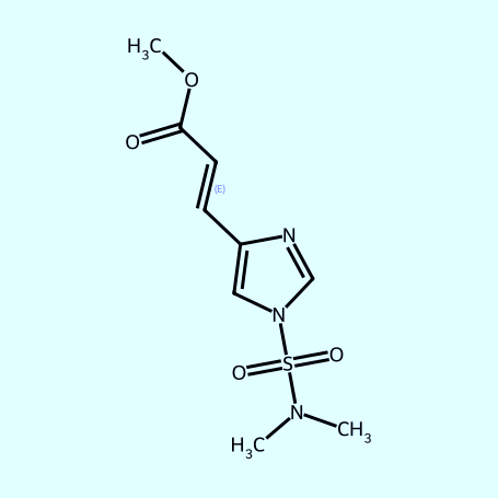 COC(=O)/C=C/c1cn(S(=O)(=O)N(C)C)cn1